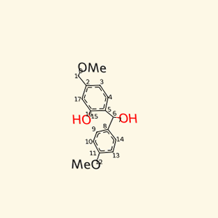 COCc1ccc(C(O)c2ccc(OC)cc2)c(O)c1